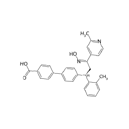 Cc1cc(C(C[C@H](c2ccc(-c3ccc(C(=O)O)cc3)cc2)c2ccccc2C)=NO)ccn1